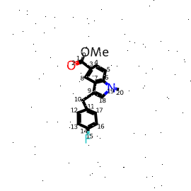 COC(=O)c1ccc2c(c1)c(Cc1ccc(F)cc1)cn2C